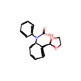 O=C(O)N(c1ccccc1)c1ccccc1C1OCCO1